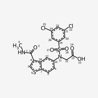 CNC(=O)c1csc2ccc(N(CC(=O)O)S(=O)(=O)c3cc(Cl)cc(Cl)c3)cc12